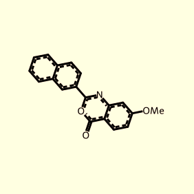 COc1ccc2c(=O)oc(-c3ccc4ccccc4c3)nc2c1